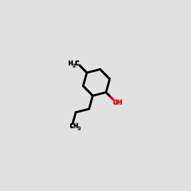 CCCC1CC(C)CCC1O